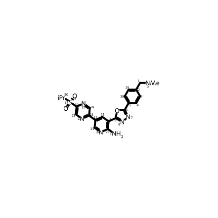 CNCc1ccc(-c2nnc(-c3cc(-c4cnc(S(=O)(=O)C(C)C)cn4)cnc3N)o2)cc1